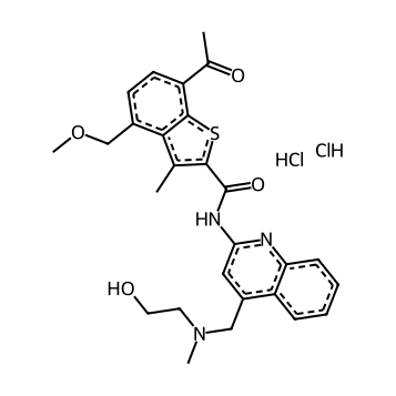 COCc1ccc(C(C)=O)c2sc(C(=O)Nc3cc(CN(C)CCO)c4ccccc4n3)c(C)c12.Cl.Cl